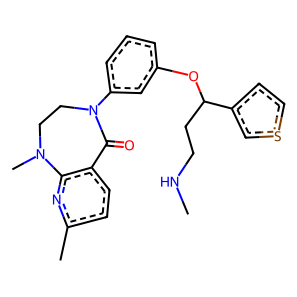 CNCCC(Oc1cccc(N2CCN(C)c3nc(C)ccc3C2=O)c1)c1ccsc1